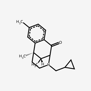 Cc1ccc2c(c1)[C@]1(C)CCN(CC3CC3)C(C2=O)[C@@H]1C